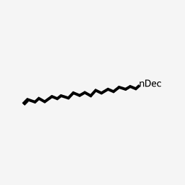 [CH2]CCCCCCCCCCCCCCCCCCCCCCCCCCCCC=C